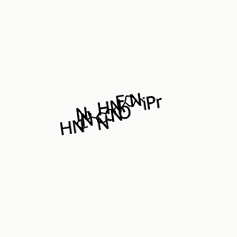 CC(C)CN1CCC(F)(C(=O)Nc2cc3cc(-c4cnc5n4CCNC5)cnc3cn2)CC1